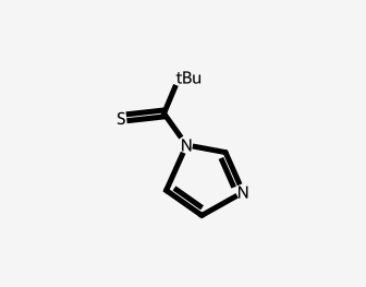 CC(C)(C)C(=S)n1ccnc1